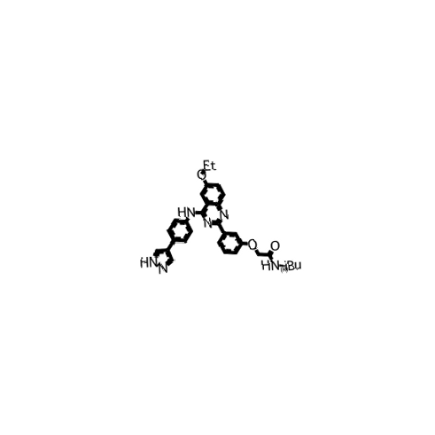 CCOc1ccc2nc(-c3cccc(OCC(=O)N[C@H](C)CC)c3)nc(Nc3ccc(-c4cn[nH]c4)cc3)c2c1